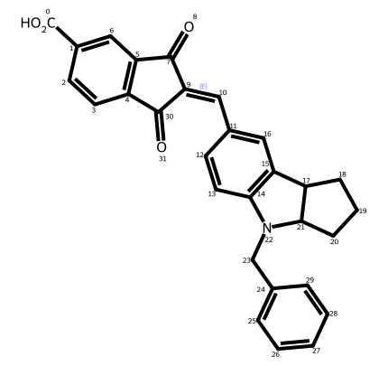 O=C(O)c1ccc2c(c1)C(=O)/C(=C/c1ccc3c(c1)C1CCCC1N3Cc1ccccc1)C2=O